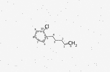 C=CCCCc1ccccc1Cl